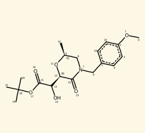 COc1ccc(CN2C[C@H](C)O[C@H](C(O)C(=O)OC(C)(C)C)C2=O)cc1